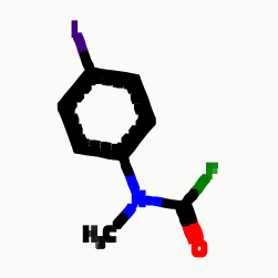 CN(C(=O)F)c1ccc(I)cc1